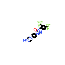 O=c1n(-c2ccc(N3CCNCC3)cc2)cnn1Cc1ccc(C(F)(F)F)cc1C(F)(F)F